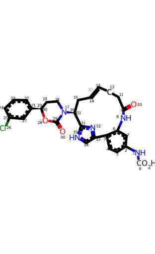 O=C(O)Nc1ccc2c(c1)NC(=O)CC/C=C/C[C@H](N1CC[C@H](c3cccc(Cl)c3)OC1=O)c1nc-2c[nH]1